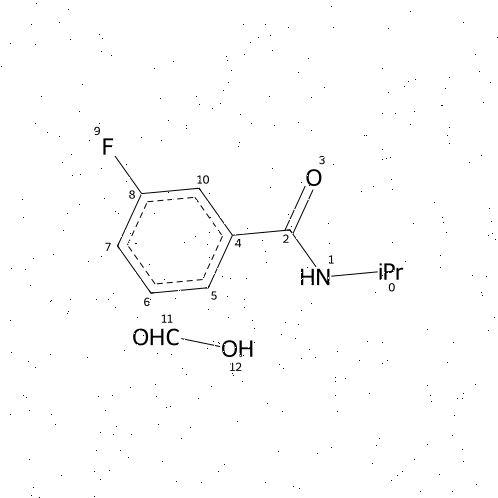 CC(C)NC(=O)c1cccc(F)c1.O=CO